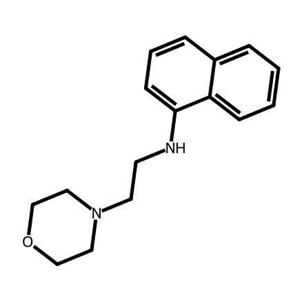 c1ccc2c(NCCN3CCOCC3)cccc2c1